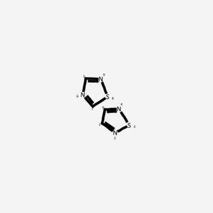 c1cnsn1.c1ncsn1